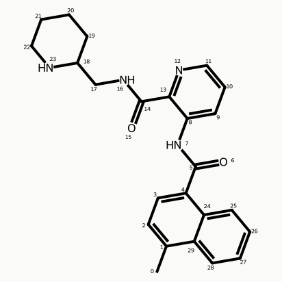 Cc1ccc(C(=O)Nc2cccnc2C(=O)NCC2CCCCN2)c2ccccc12